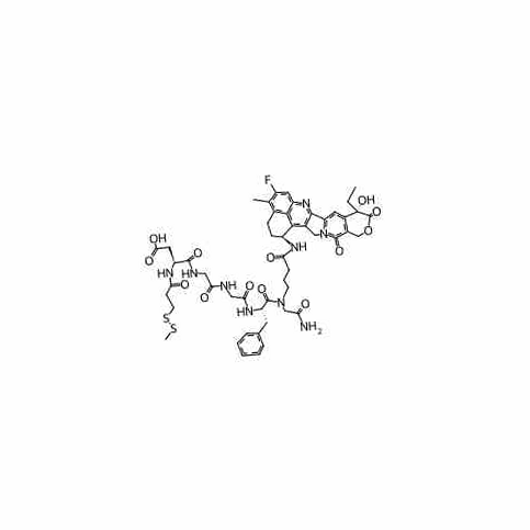 CC[C@@]1(O)C(=O)OCc2c1cc1n(c2=O)Cc2c-1nc1cc(F)c(C)c3c1c2[C@@H](NC(=O)CCCN(CC(N)=O)C(=O)[C@H](Cc1ccccc1)NC(=O)CNC(=O)CNC(=O)[C@H](CC(=O)O)NC(=O)CCSSC)CC3